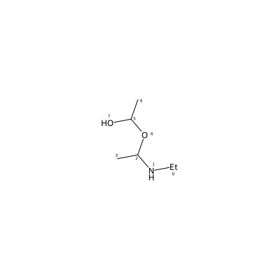 CCNC(C)OC(C)O